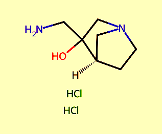 Cl.Cl.NCC1(O)CN2CC[C@@H]1C2